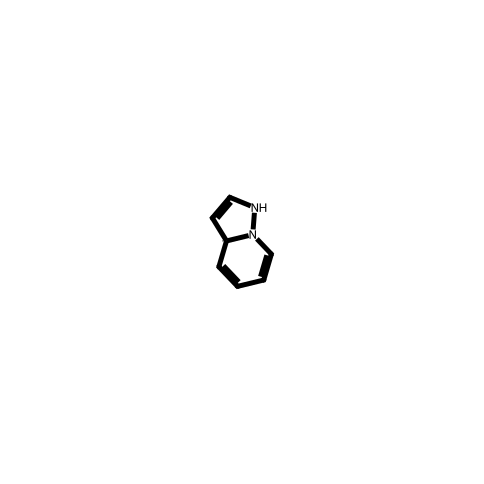 C1=C[C]2C=CNN2C=C1